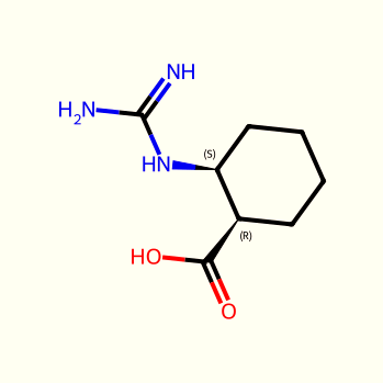 N=C(N)N[C@H]1CCCC[C@H]1C(=O)O